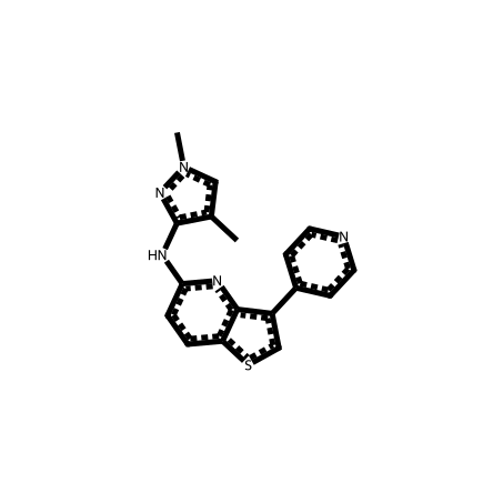 Cc1cn(C)nc1Nc1ccc2scc(-c3ccncc3)c2n1